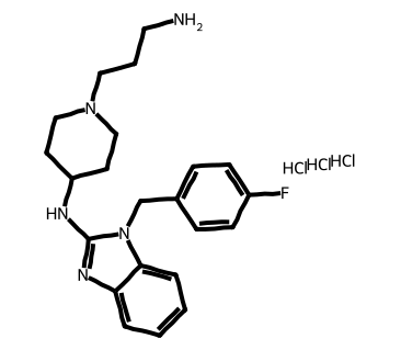 Cl.Cl.Cl.NCCCN1CCC(Nc2nc3ccccc3n2Cc2ccc(F)cc2)CC1